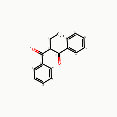 CCC(C(=O)c1ccccc1)C(=O)c1ccccc1